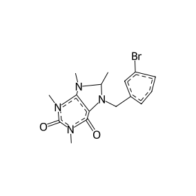 CC1N(C)c2c(c(=O)n(C)c(=O)n2C)N1Cc1cccc(Br)c1